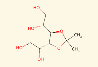 CC1(C)O[C@H]([C@H](O)CO)[C@@H](C(O)CO)O1